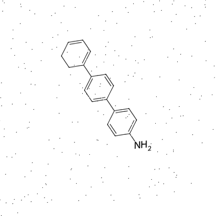 Nc1ccc(-c2ccc(C3=CC=CCC3)cc2)cc1